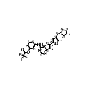 O=C(Oc1cccc(Nc2ncnc3cc(-c4cc(CN5CCCC5)co4)sc23)c1)C(F)(F)F